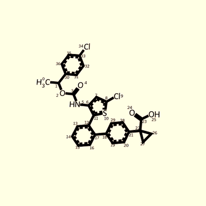 CC(OC(=O)Nc1cc(Cl)sc1-c1ccccc1-c1ccc(C2(C(=O)O)CC2)cc1)c1ccc(Cl)cc1